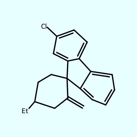 C=C1CC(CC)CCC12c1ccccc1-c1ccc(Cl)cc12